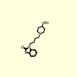 CCCCC1CCN(CCCCn2c(=O)sc3ccccc32)CC1